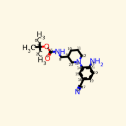 CC(C)(C)OC(=O)NCC1CCCN(c2cc(C#N)ccc2N)C1